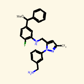 COC(c1ccccc1)c1ccc(F)c(NCc2cc(C(F)(F)F)nn2-c2cccc(CN)c2)c1